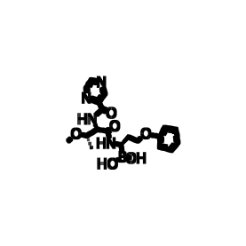 CO[C@@H](C)[C@@H](NC(=O)c1cnccn1)C(=O)N[C@@H](CCOc1ccccc1)B(O)O